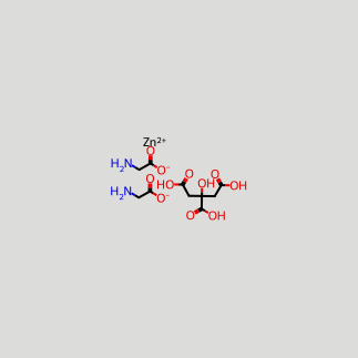 NCC(=O)[O-].NCC(=O)[O-].O=C(O)CC(O)(CC(=O)O)C(=O)O.[Zn+2]